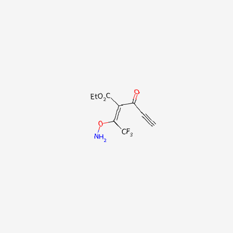 C#CC(=O)/C(C(=O)OCC)=C(/ON)C(F)(F)F